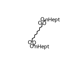 CCCCCCCC(=O)OC(=O)CCCCCCCCC(=O)OC(=O)CCCCCCC